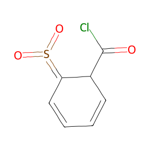 O=C(Cl)C1C=CC=CC1=S(=O)=O